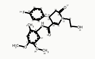 COc1cc(C)c(NC(=O)C2=CN(CCO)C(=O)C[C@H]2c2ccc(F)cc2)cc1OC